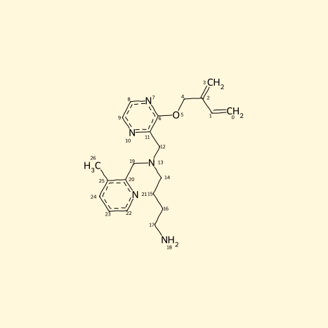 C=CC(=C)COc1nccnc1CN(CCCCN)Cc1ncccc1C